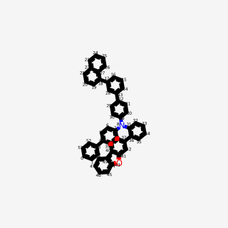 c1ccc(-c2ccc(N(c3ccc(-c4cccc(-c5cccc6ccccc56)c4)cc3)c3ccccc3-c3ccc4c(c3)oc3ccccc34)cc2)cc1